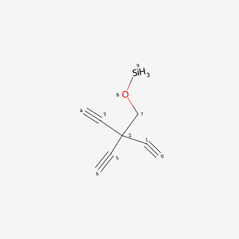 C#CC(C#C)(C#C)CO[SiH3]